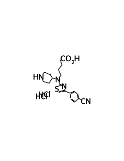 Cl.Cl.N#Cc1ccc(-c2csc(N(CCCCC(=O)O)C3CCNCC3)n2)cc1